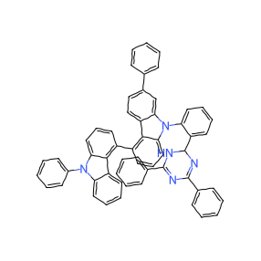 c1ccc(C2=NC(c3ccccc3-n3c4cc(-c5ccccc5)ccc4c4c(-c5cccc6c5c5ccccc5n6-c5ccccc5)cccc43)NC(c3ccccc3)=N2)cc1